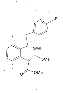 COC(=O)C(c1ccccc1CCc1ccc(F)cc1)C(SC)SC